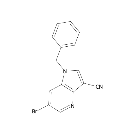 N#Cc1cn(Cc2ccccc2)c2cc(Br)cnc12